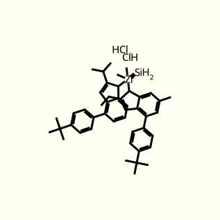 CCC1=Cc2c(-c3ccc(C(C)(C)C)cc3)cc(C)cc2[CH]1[Zr]([CH3])([CH3])(=[SiH2])[CH]1C(C(C)C)=Cc2c(-c3ccc(C(C)(C)C)cc3)cccc21.Cl.Cl